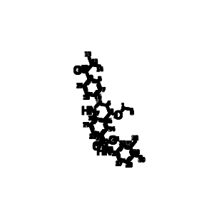 CCO[C@H]1C[C@@H](c2ccc(C(=O)C(C)C)cc2)Nc2ccc(S(=O)(=O)Nc3ccc(C)c(C)c3)cc21